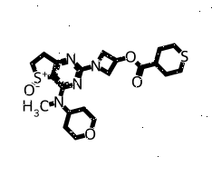 CN(c1nc(N2CC(OC(=O)C3CCSCC3)C2)nc2c1[S+]([O-])CC2)C1CCOCC1